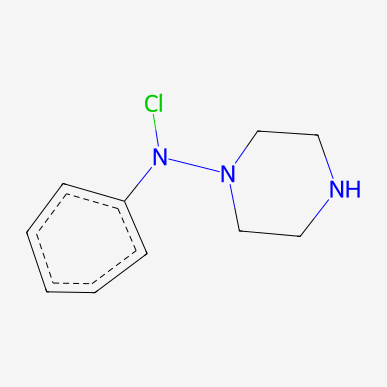 ClN(c1ccccc1)N1CCNCC1